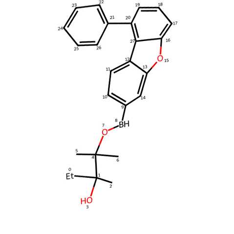 CCC(C)(O)C(C)(C)OBc1ccc2c(c1)oc1cccc(-c3ccccc3)c12